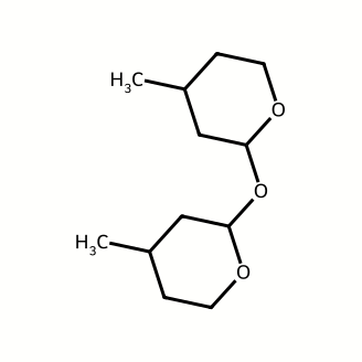 CC1CCOC(OC2CC(C)CCO2)C1